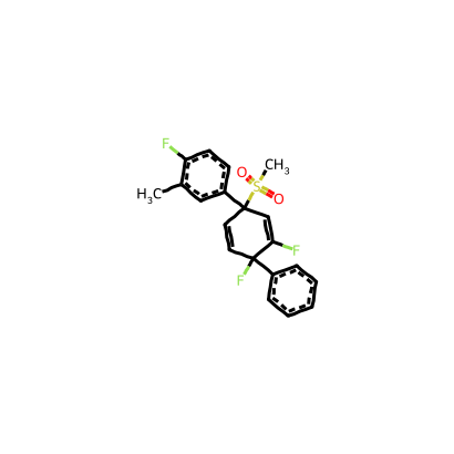 Cc1cc(C2(S(C)(=O)=O)C=CC(F)(c3ccccc3)C(F)=C2)ccc1F